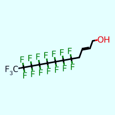 OCC=CCC(F)(F)C(F)(F)C(F)(F)C(F)(F)C(F)(F)C(F)(F)C(F)(F)C(F)(F)F